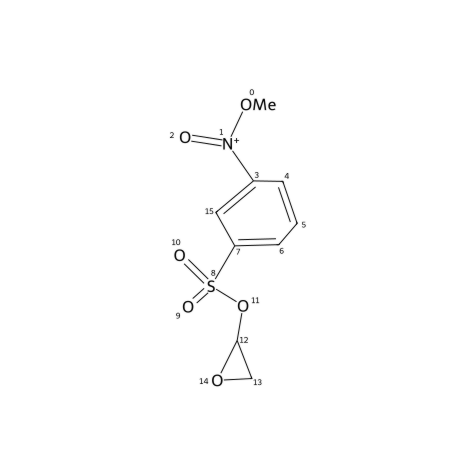 CO[N+](=O)c1cccc(S(=O)(=O)OC2CO2)c1